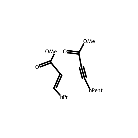 CCCC=CC(=O)OC.CCCCCC#CC(=O)OC